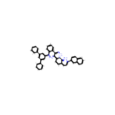 c1ccc(-c2cc(-c3ccccc3)cc(-c3nc4c(cnc5c4ccc4ccc(-c6ccc7ccccc7c6)nc45)c4ccccc34)c2)cc1